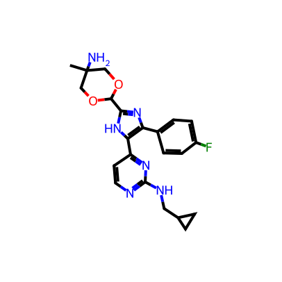 CC1(N)COC(c2nc(-c3ccc(F)cc3)c(-c3ccnc(NCC4CC4)n3)[nH]2)OC1